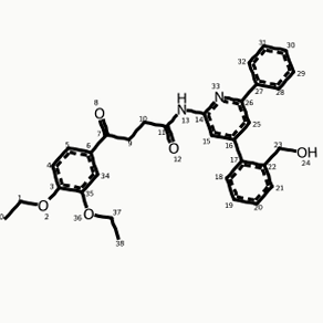 CCOc1ccc(C(=O)CCC(=O)Nc2cc(-c3ccccc3CO)cc(-c3ccccc3)n2)cc1OCC